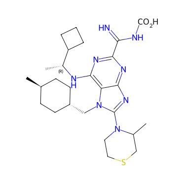 CC1CSCCN1c1nc2nc(C(=N)NC(=O)O)nc(N[C@H](C)C3CCC3)c2n1C[C@H]1CC[C@H](C)CC1